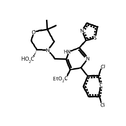 CCOC(=O)C1=C(CN2CC(C)(C)OC[C@H]2C(=O)O)NC(c2nccs2)=NC1c1ccc(Cl)cc1Cl